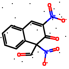 O=CC1([N+](=O)[O-])C(=O)C([N+](=O)[O-])=Cc2ccccc21